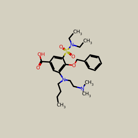 CCCCN(CCN(C)C)c1cc(C(=O)O)cc(S(=O)(=O)N(CC)CC)c1OCc1ccccc1